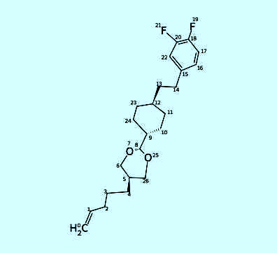 C=CCCC[C@H]1CO[C@H]([C@H]2CC[C@H](CCc3ccc(F)c(F)c3)CC2)OC1